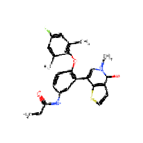 C=CC(=O)Nc1ccc(Oc2c(C)cc(F)cc2C)c(-c2cn(C)c(=O)c3ccsc23)c1